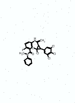 C=C(Nc1ccc(F)c(C(=O)N(C)c2ccccc2)c1)C1C(c2cc(Cl)c(Cl)c(Cl)c2)C1(Cl)Cl